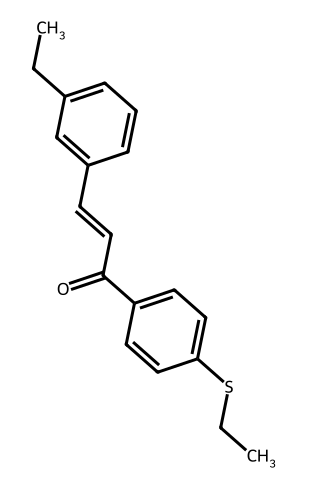 CCSc1ccc(C(=O)C=Cc2cccc(CC)c2)cc1